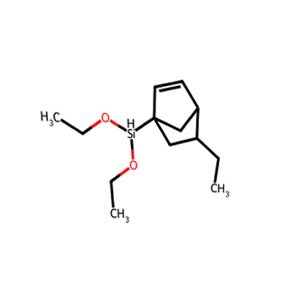 CCO[SiH](OCC)C12C=CC(C1)C(CC)C2